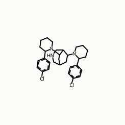 Clc1ccc(C2CCCCN2C2CC3CNCC2C(N2CCCCC2c2ccc(Cl)cc2)C3)cc1